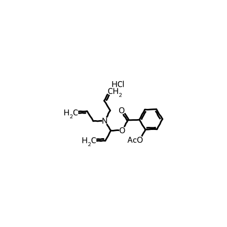 C=CCN(CC=C)C(C=C)OC(=O)c1ccccc1OC(C)=O.Cl